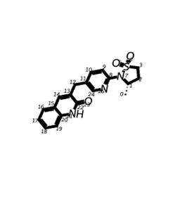 C[C@H]1CCS(=O)(=O)N1c1ccc(Cc2cc3ccccc3[nH]c2=O)cn1